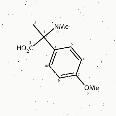 CNC(C)(C(=O)O)c1ccc(OC)cc1